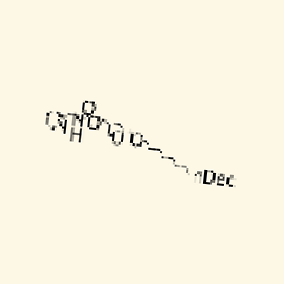 CCCCCCCCCCCCCCCCCCOC[C@H]1C[C@H](COC(=O)NCc2ccccn2)CO1